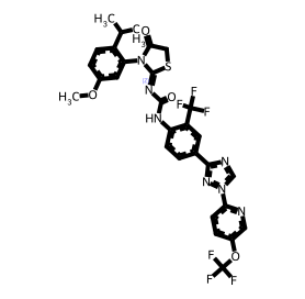 COc1ccc(C(C)C)c(N2C(=O)CS/C2=N\C(=O)Nc2ccc(-c3ncn(-c4ccc(OC(F)(F)F)cn4)n3)cc2C(F)(F)F)c1